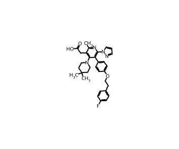 Cc1nc(-n2cccn2)c(-c2ccc(OCCc3ccc(F)cc3)cc2)c(N2CCC(C)(C)CC2)c1CC(=O)O